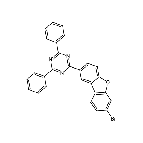 Brc1ccc2c(c1)oc1ccc(-c3nc(-c4ccccc4)nc(-c4ccccc4)n3)cc12